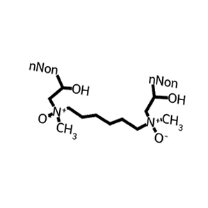 CCCCCCCCCC(O)C[N+](C)([O-])CCCCCC[N+](C)([O-])CC(O)CCCCCCCCC